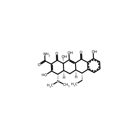 CC[C@H]1c2cccc(O)c2C(=O)C2=C(O)[C@]3(O)C(=O)C(C(N)=O)=C(O)[C@@H](N(C)C)[C@@H]3C[C@@H]21